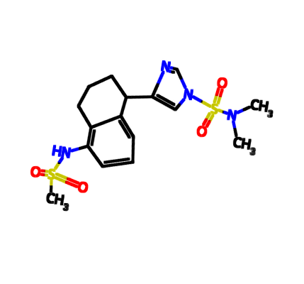 CN(C)S(=O)(=O)n1cnc(C2CCCc3c(NS(C)(=O)=O)cccc32)c1